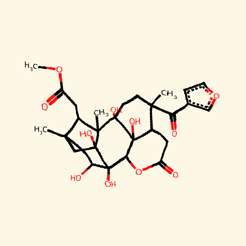 COC(=O)CC1C2(C)CC3(O)C(O)(C2O)C2OC(=O)CC4C(C)(C(=O)c5ccoc5)CCC(O)(C42O)C13C